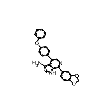 Nc1n[nH]c2c(-c3ccc4c(c3)OCO4)ncc(-c3ccc(Oc4ccccc4)cc3)c12